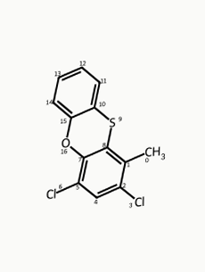 Cc1c(Cl)cc(Cl)c2c1Sc1ccccc1O2